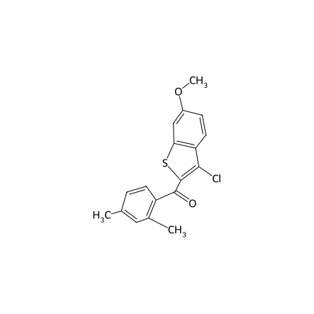 COc1ccc2c(Cl)c(C(=O)c3ccc(C)cc3C)sc2c1